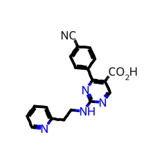 N#Cc1ccc(-c2nc(NCCc3ccccn3)ncc2C(=O)O)cc1